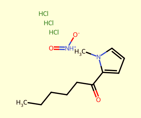 CCCCCC(=O)c1cccn1C.Cl.Cl.Cl.O=[NH+][O-]